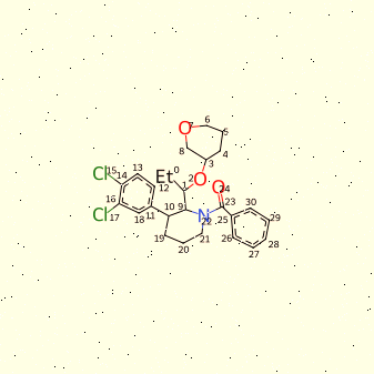 CCC(OC1CCCOC1)C1C(c2ccc(Cl)c(Cl)c2)CCCN1C(=O)c1ccccc1